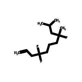 C=CCC(F)(F)CCCC(C)(F)CC(C)C